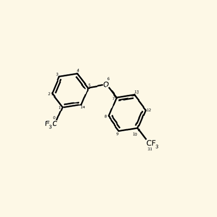 FC(F)(F)c1[c]ccc(Oc2ccc(C(F)(F)F)cc2)c1